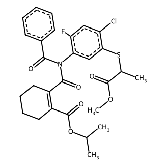 COC(=O)C(C)Sc1cc(N(C(=O)C2=C(C(=O)OC(C)C)CCCC2)C(=O)c2ccccc2)c(F)cc1Cl